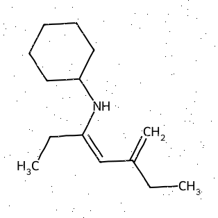 C=C(/C=C(/CC)NC1CCCCC1)CC